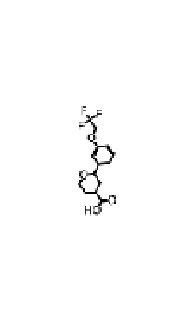 O=C(O)C1CCOC(c2cccc(OCC(F)(F)F)c2)C1